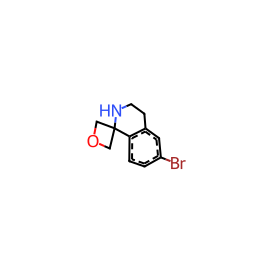 Brc1ccc2c(c1)CCNC21COC1